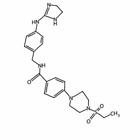 CCS(=O)(=O)N1CCN(c2ccc(C(=O)NCc3ccc(NC4=NCCN4)cc3)cc2)CC1